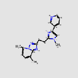 Cc1ccc(C)n2nc(CCc3nc(-c4cccnc4)cn3C)nc12